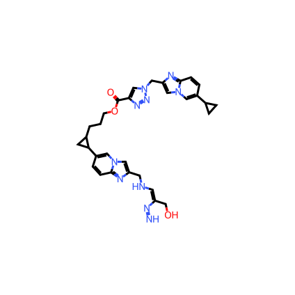 N=N/C(=C\NCc1cn2cc(C3CC3CCCOC(=O)c3cn(Cc4cn5cc(C6CC6)ccc5n4)nn3)ccc2n1)CO